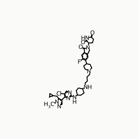 Cn1ncc(-c2nc(NC3CCC(NCCCCN4CCC(c5cc6c(cc5F)C(=O)N(C5CCC(=O)NC5=O)C6)CC4)CC3)ncc2Cl)c1CC1CC1